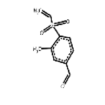 C=CS(=O)(=O)c1ccc(C=O)cc1C